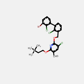 C[Si](C)(C)CCOc1nc(OCc2cccc(-c3cccc(Br)c3Cl)c2Cl)c(Cl)cc1C=O